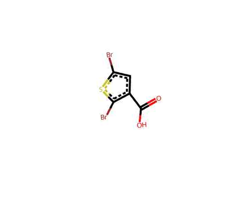 O=C(O)c1cc(Br)sc1Br